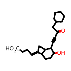 O=C(O)CCC=C1CC2C1CCC(O)C2C#CC(=O)CC1CCCCC1